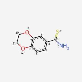 NC(=S)c1ccc2c(c1)OCCO2